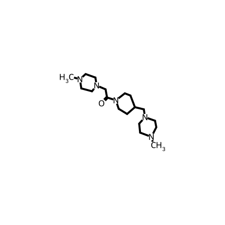 CN1CCN(CC(=O)N2CCC(CN3CCN(C)CC3)CC2)CC1